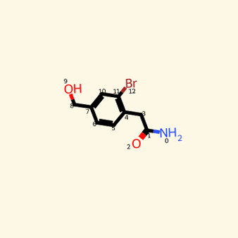 NC(=O)Cc1ccc(CO)cc1Br